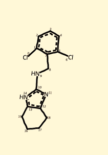 Clc1cccc(Cl)c1CNc1nc2c([nH]1)CCCC2